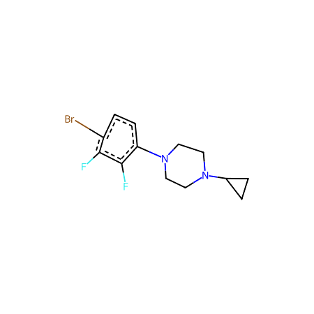 Fc1c(Br)ccc(N2CCN(C3CC3)CC2)c1F